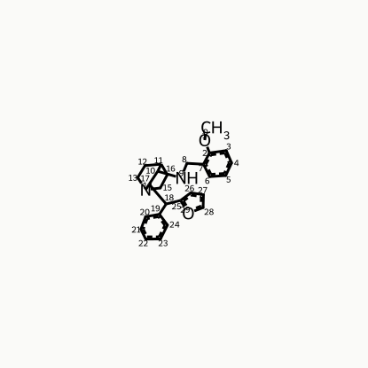 COc1ccccc1CNC1C2CCN(CC2)C1C(c1ccccc1)c1ccco1